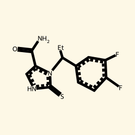 CCC(c1ccc(F)c(F)c1)n1c(C(N)=O)c[nH]c1=S